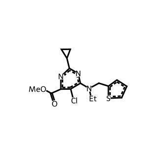 CCN(Cc1cccs1)c1nc(C2CC2)nc(C(=O)OC)c1Cl